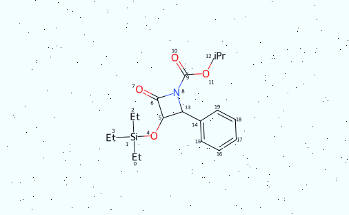 CC[Si](CC)(CC)OC1C(=O)N(C(=O)OC(C)C)C1c1ccccc1